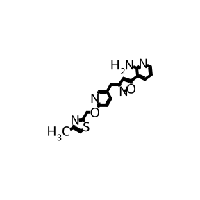 Cc1csc(COc2ccc(Cc3cc(-c4cccnc4N)on3)cn2)n1